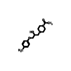 CC(=O)N1CCN(CC(O)COc2ccc(C)cc2)CC1